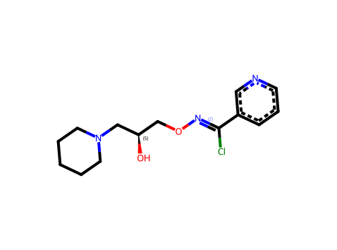 O[C@H](CO/N=C(\Cl)c1cccnc1)CN1CCCCC1